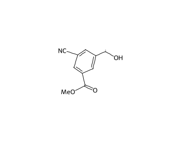 COC(=O)c1cc(C#N)cc([CH]O)c1